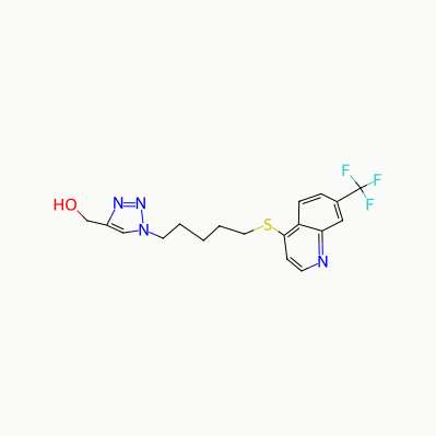 OCc1cn(CCCCCSc2ccnc3cc(C(F)(F)F)ccc23)nn1